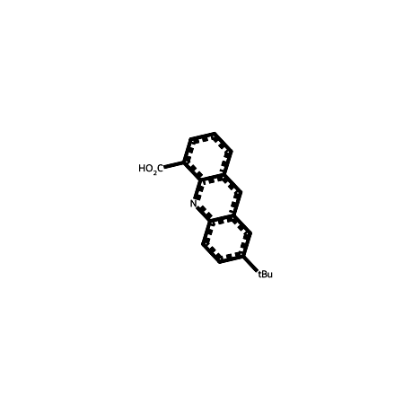 CC(C)(C)c1ccc2nc3c(C(=O)O)cccc3cc2c1